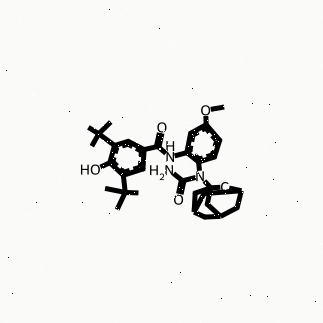 COc1ccc(N(C(N)=O)C23CC4CC(CC(C4)C2)C3)c(NC(=O)c2cc(C(C)(C)C)c(O)c(C(C)(C)C)c2)c1